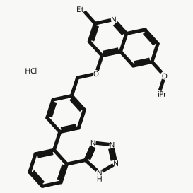 CCc1cc(OCc2ccc(-c3ccccc3-c3nnn[nH]3)cc2)c2cc(OC(C)C)ccc2n1.Cl